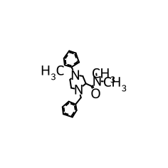 Cc1ccccc1N1CCN(Cc2ccccc2)C(C(=O)N(C)C)C1